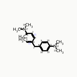 C=C(/C=C\C(=C/C)Cc1ccc(N(C)C)cc1)N(C)C